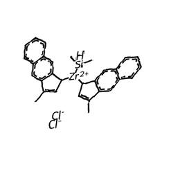 CC1=C[CH]([Zr+2]([CH]2C=C(C)c3cc4ccccc4cc32)[SiH](C)C)c2cc3ccccc3cc21.[Cl-].[Cl-]